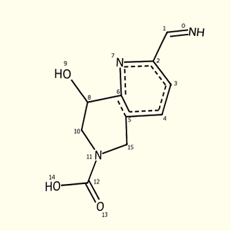 N=Cc1ccc2c(n1)C(O)CN(C(=O)O)C2